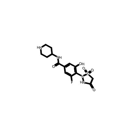 O=C1CS(=O)(=O)N(c2c(O)cc(C(=O)NC3CCNCC3)cc2F)N1